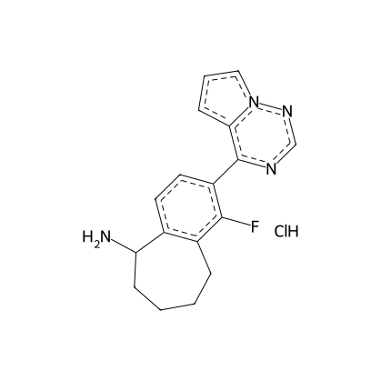 Cl.NC1CCCCc2c1ccc(-c1ncnn3cccc13)c2F